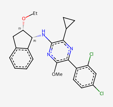 CCO[C@H]1Cc2ccccc2[C@H]1Nc1nc(OC)c(-c2ccc(Cl)cc2Cl)nc1C1CC1